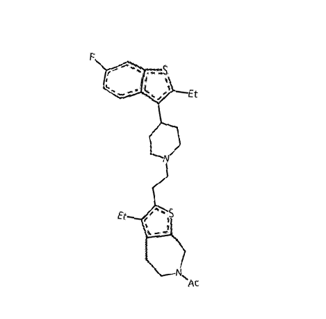 CCc1sc2cc(F)ccc2c1C1CCN(CCc2sc3c(c2CC)CCN(C(C)=O)C3)CC1